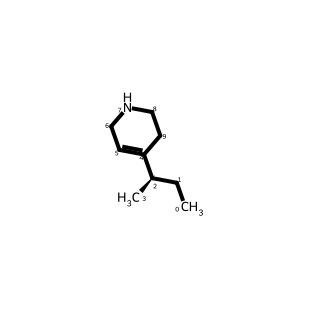 CC[C@@H](C)C1=CCNCC1